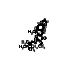 CCN(C(=O)NCC(C)(C)N(C)C)C(=O)[C@@H]1C[C@@H]2CC3(CC[C@H]2N(C)C1)OCCO3